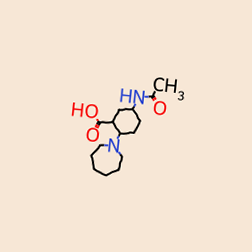 CC(=O)NC1CCC(N2CCCCCC2)C(C(=O)O)C1